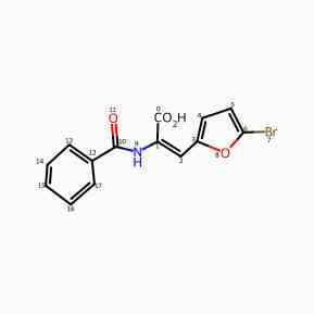 O=C(O)/C(=C\c1ccc(Br)o1)NC(=O)c1ccccc1